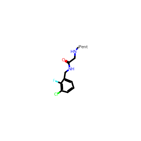 CCCC(C)NCC(=O)NCc1cccc(Cl)c1F